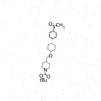 C[S+]([O-])c1ccc([C@H]2CC[C@@H](OCC3CCN(C(=O)OC(C)(C)C)CC3)CC2)cc1